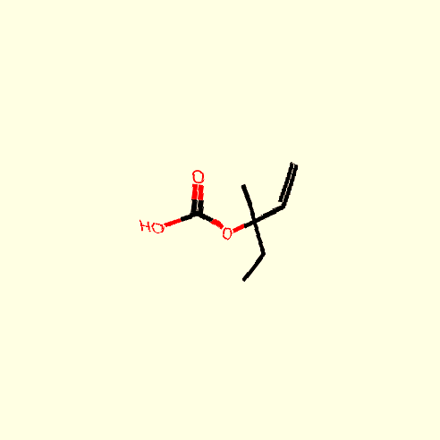 C=CC(C)(CC)OC(=O)O